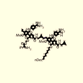 C=Cc1cc(C(=O)Nc2ccc(C(=N)N)cc2)c(-c2ccc(C(=O)NCC3CC3/C=C/c3cc(C(=O)Nc4ccc(C(=N)N)cc4)c(-c4ccc(C(=O)NCC5CC5)nc4C(=O)OCCCCCCCCCCCCCCCCCC)cc3OC)nc2C(=O)OCOC(=O)[C@@H](N)C(C)C)cc1OC